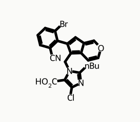 CCCCc1nc(Cl)c(C(=O)O)n1Cc1c2ccocc-2cc1-c1c(Br)cccc1C#N